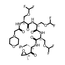 CC(C)C[C@H](NC(=O)[C@H](COC(F)F)NC(=O)[C@H](COC(F)F)NC(=O)[C@H](COC(F)F)NC(=O)CN1CCOCC1)C(=O)[C@@]1(C)CO1